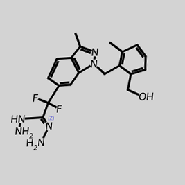 Cc1cccc(CO)c1Cn1nc(C)c2ccc(C(F)(F)/C(=N/N)NN)cc21